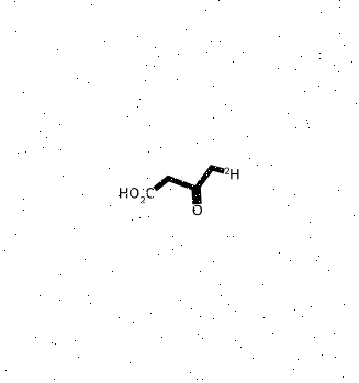 [2H]CC(=O)CC(=O)O